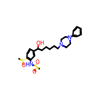 C[S+]([O-])c1ccc(C(O)CCCCCN2CCN(c3ccccc3)CC2)cc1NS(C)(=O)=O